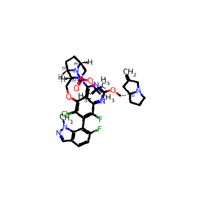 C=C1CN2CCC[C@@]2(COc2nc3c4c(c(Cl)c(-c5c(F)ccc6cnn(C)c56)c(F)c4n2)OC[C@@H]2[C@@H]4CC[C@H](CN32)N4C(=O)OC(C)(C)C)C1